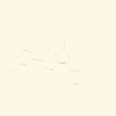 CC(NC(=O)c1cc(Cl)cc(Br)c1)c1nc(I)nn1-c1ncccn1